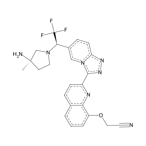 C[C@@]1(N)CCN([C@H](c2ccc3nnc(-c4ccc5cccc(OCC#N)c5n4)n3c2)C(F)(F)F)C1